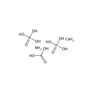 N.O=C(O)O.O=P(O)(O)O.O=P(O)(O)O.[CaH2]